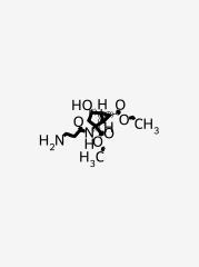 CCOC(=O)[C@H]1[C@H]2[C@@H]1[C@](NC(=O)CCN)(C(=O)OCC)C[C@@H]2O